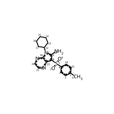 Cc1ccc(S(=O)(=O)c2c(N)n(C3CCCCC3)c3nccnc23)cc1